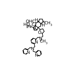 CC(C)C1=CC2CC3(C=O)[C@@H]4CC[C@@H](C)[C@H]4CC2(C2CCC(CN(C)Cc4cccc(CN(Cc5ccccn5)Cc5ccccn5)n4)O2)C13C(=O)O